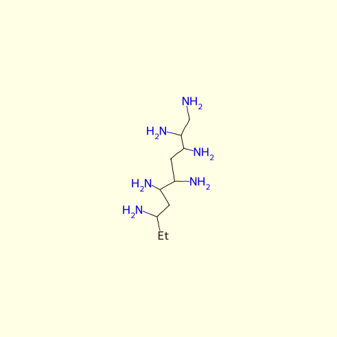 CCC(N)CC(N)C(N)CC(N)C(N)CN